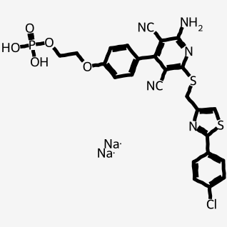 N#Cc1c(N)nc(SCc2csc(-c3ccc(Cl)cc3)n2)c(C#N)c1-c1ccc(OCCOP(=O)(O)O)cc1.[Na].[Na]